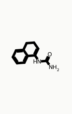 NC(=O)NC1=CCCc2ccccc21